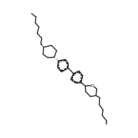 CCCCCCC[C@H]1CC[C@H](c2ccc(-c3ccc(C4CCC(CCCCCC)CO4)cc3)cc2)CC1